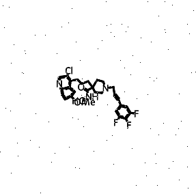 COc1ccc2ncc(Cl)c(CCCC3(C(=O)NO)CCN(CC#Cc4cc(F)c(F)c(F)c4)CC3)c2c1